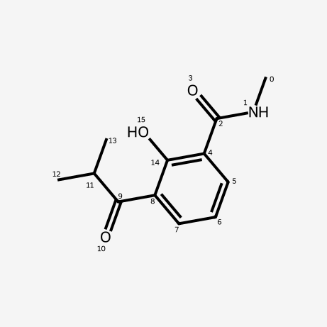 CNC(=O)c1cccc(C(=O)C(C)C)c1O